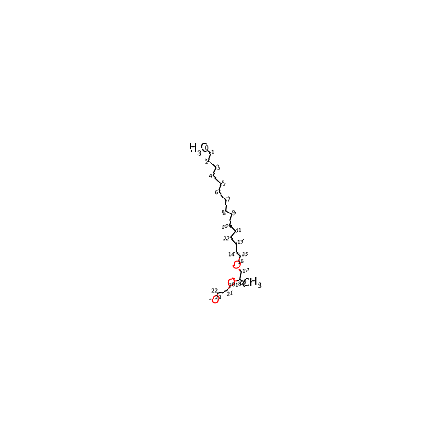 CCCCCCCCCCCCCCCCOCC(C)OCC[O]